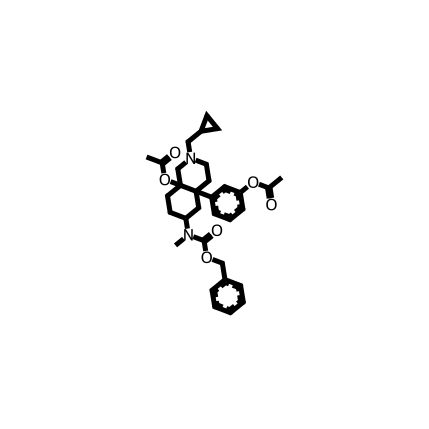 CC(=O)Oc1cccc(C23CCN(CC4CC4)CC2(OC(C)=O)CCC(N(C)C(=O)OCc2ccccc2)C3)c1